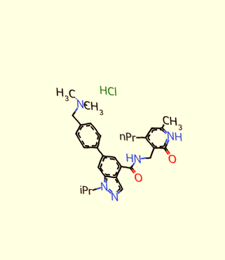 CCCc1cc(C)[nH]c(=O)c1CNC(=O)c1cc(-c2ccc(CN(C)C)cc2)cc2c1cnn2C(C)C.Cl